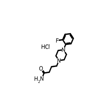 Cl.NC(=O)CCCN1CCN(c2ccccc2F)CC1